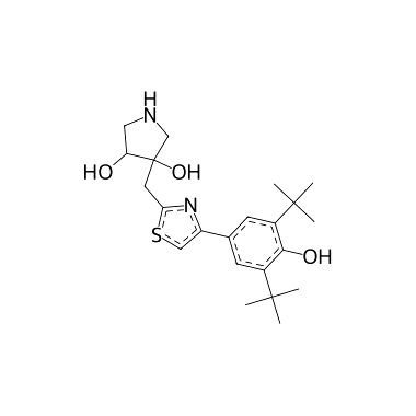 CC(C)(C)c1cc(-c2csc(CC3(O)CNCC3O)n2)cc(C(C)(C)C)c1O